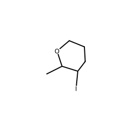 CC1OCCCC1I